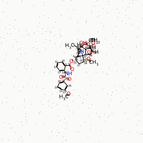 CCC1CC[C@]2(OC(=O)c3ccccc3NS(=O)(=O)c3cccc(OC)c3)CC[C@H](OC)C34C5C[C@@H]6[C@@H](OC)C[C@](O)([C@@H](CC32)N14)C5(O)[C@H]6OC